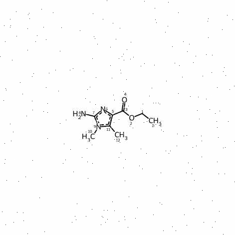 CCOC(=O)c1nc(N)n(C)c1C